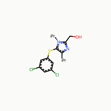 CC(C)c1nc(CO)n(C(C)C)c1Sc1cc(Cl)cc(Cl)c1